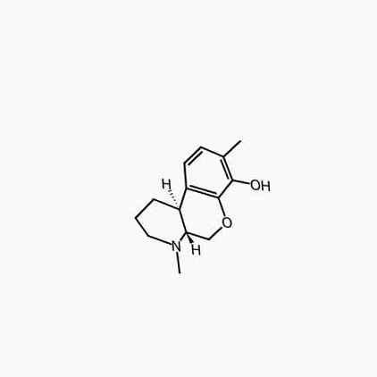 Cc1ccc2c(c1O)OC[C@H]1[C@H]2CCCN1C